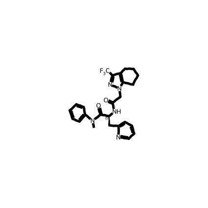 CN(C(=O)[C@H](Cc1ccccn1)NC(=O)Cn1nc(C(F)(F)F)c2c1CCCC2)c1ccccc1